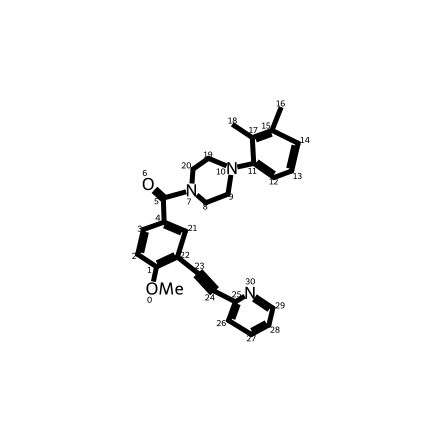 COc1ccc(C(=O)N2CCN(c3cccc(C)c3C)CC2)cc1C#Cc1ccccn1